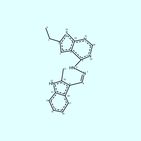 CCc1cc2c(N/N=C\c3c(C)[nH]c4ccccc34)ncnc2s1